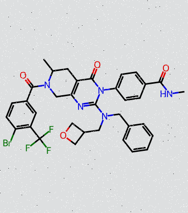 CNC(=O)c1ccc(-n2c(N(Cc3ccccc3)CC3COC3)nc3c(c2=O)CC(C)N(C(=O)c2ccc(Br)c(C(F)(F)F)c2)C3)cc1